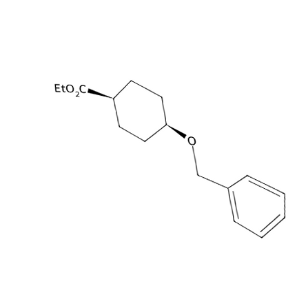 CCOC(=O)[C@H]1CC[C@@H](OCc2ccccc2)CC1